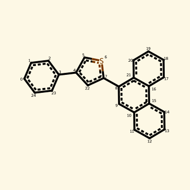 c1ccc(-c2csc(-c3cc4ccccc4c4ccccc34)c2)cc1